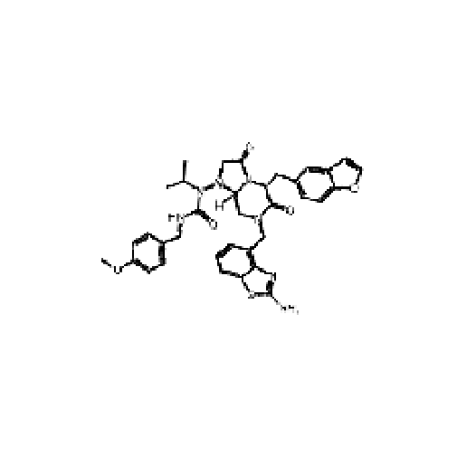 COc1ccc(CNC(=O)N(C(C)C)N2CC(=O)N3[C@@H](Cc4ccc5occc5c4)C(=O)N(Cc4cccc5sc(N)nc45)C[C@@H]32)cc1